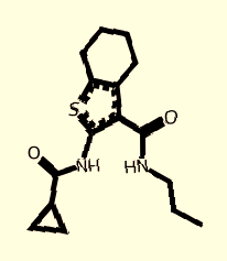 CCCNC(=O)c1c(NC(=O)C2CC2)sc2c1CCCC2